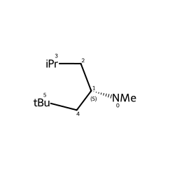 CN[C@@H](CC(C)C)CC(C)(C)C